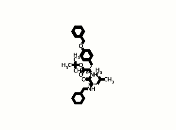 CC(C)C[C@H](NCC1CCCCC1)C(=O)N[C@@H](Cc1ccc(OCc2ccccc2)cc1)C(=O)OC(C)(C)C